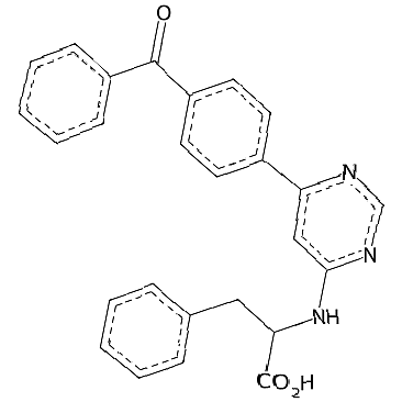 O=C(c1ccccc1)c1ccc(-c2cc(NC(Cc3ccccc3)C(=O)O)ncn2)cc1